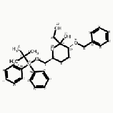 CC(C)(C)[Si](OC[C@@H]1CC[C@@H](OCc2ccccc2)C(O)(CO)O1)(c1ccccc1)c1ccccc1